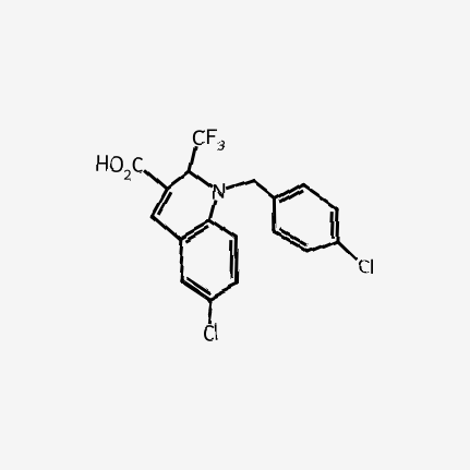 O=C(O)C1=Cc2cc(Cl)ccc2N(Cc2ccc(Cl)cc2)C1C(F)(F)F